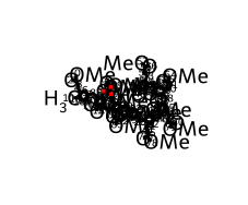 COC(=O)CCc1cc(Cc2cc(OC)c(Cc3cc(OC)c(Cc4cc(OC)c(Cc5cc(OC)c(Cc6cc(OC)c(Cc7cc(OC)c(Cc8cc(O)c(I)cc8CCC(=O)OC)cc7CCC(=O)OC)cc6CCC(=O)OC)cc5CCC(=O)OC)cc4CCC(=O)OC)cc3CCC(=O)OC)cc2CCC(=O)OC)c(OC)cc1C